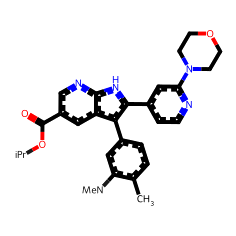 CNc1cc(-c2c(-c3ccnc(N4CCOCC4)c3)[nH]c3ncc(C(=O)OC(C)C)cc23)ccc1C